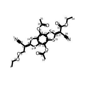 CCOOCC(C#N)=C1Sc2c(OC(C)=O)c3c(c(OC(C)=O)c2S1)SC(=C(C#N)C(=O)OCC)S3